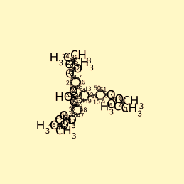 CC(C)(C)OC(=O)Oc1ccc(-c2cc(-c3ccc(OC(=O)OC(C)(C)C)cc3)c(S(=O)(=O)O)c(-c3ccc(OC(=O)OC(C)(C)C)cc3)c2)cc1